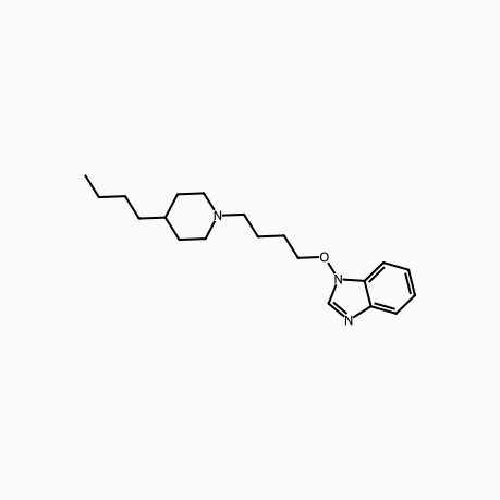 CCCCC1CCN(CCCCOn2cnc3ccccc32)CC1